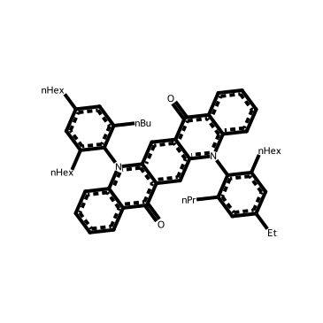 CCCCCCc1cc(CCCC)c(-n2c3ccccc3c(=O)c3cc4c(cc32)c(=O)c2ccccc2n4-c2c(CCC)cc(CC)cc2CCCCCC)c(CCCCCC)c1